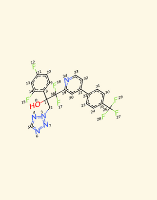 OC(Cn1ncnn1)(c1ccc(F)cc1F)C(F)(F)c1cc(-c2ccc(C(F)(F)F)cc2)ccn1